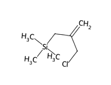 C=C(CCl)C[Si](C)(C)C